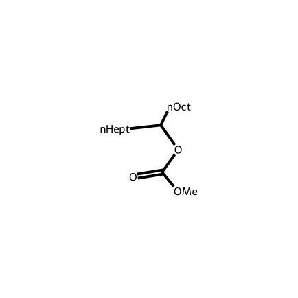 CCCCCCCCC(CCCCCCC)OC(=O)OC